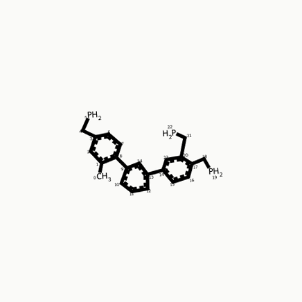 Cc1cc(CP)ccc1-c1cccc(-c2ccc(CP)c(CP)c2)c1